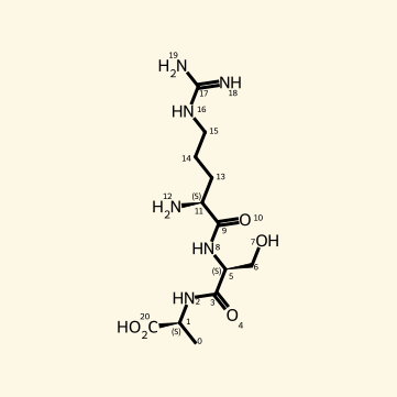 C[C@H](NC(=O)[C@H](CO)NC(=O)[C@@H](N)CCCNC(=N)N)C(=O)O